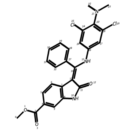 COC(=O)c1ccc2c(c1)NC(=O)/C2=C(\Nc1cc(Cl)c(N(C)C)c(Cl)c1)c1ccccc1